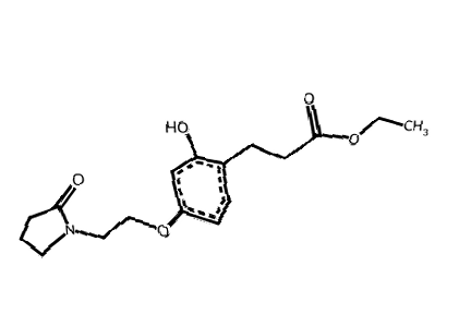 CCOC(=O)CCc1ccc(OCCN2CCCC2=O)cc1O